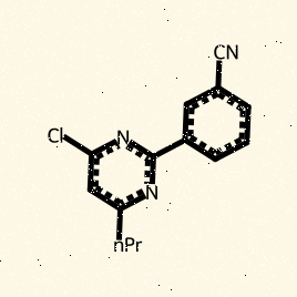 CCCc1cc(Cl)nc(-c2cccc(C#N)c2)n1